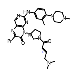 Cc1cc(Nc2ncc3nc(C(C)C)c(=O)n([C@H]4CCN(C(=O)/C=C/CN(C)C)C4)c3n2)ccc1N1CCN(C)CC1